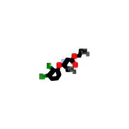 CCOC(=O)/C=C(\C)Oc1cccc(Br)c1F